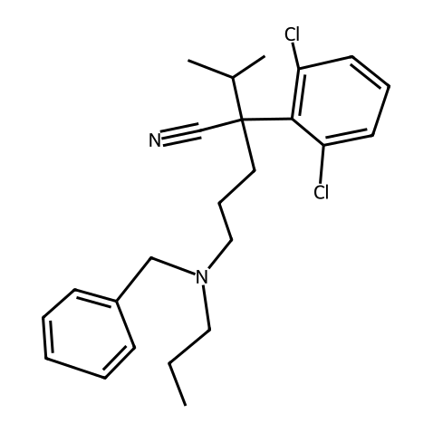 CCCN(CCCC(C#N)(c1c(Cl)cccc1Cl)C(C)C)Cc1ccccc1